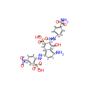 Nc1ccc(N=Nc2ccc([N+](=O)[O-])cc2S(=O)(=O)O)c2cc(S(=O)(=O)O)c(N=Nc3ccc(S(N)(=O)=O)cc3)c(O)c12